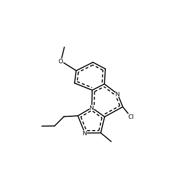 CCCc1nc(C)c2c(Cl)nc3ccc(OC)cc3n12